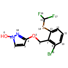 On1ccc(OCc2c(Br)cccc2SC(F)F)n1